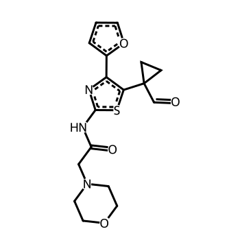 O=CC1(c2sc(NC(=O)CN3CCOCC3)nc2-c2ccco2)CC1